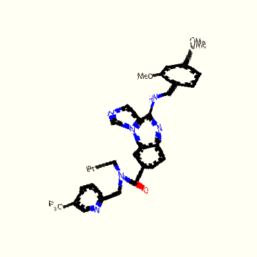 COc1ccc(CNc2nc3ccc(C(=O)N(Cc4ccc(C(F)(F)F)cn4)CC(C)C)cc3n3cncc23)c(OC)c1